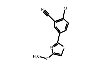 COc1csc(-c2ccc(Cl)c(C#N)c2)n1